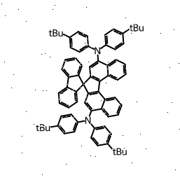 CC(C)(C)c1ccc(N(c2ccc(C(C)(C)C)cc2)c2cc3c(c4ccccc24)-c2c(cc(N(c4ccc(C(C)(C)C)cc4)c4ccc(C(C)(C)C)cc4)c4ccccc24)C32c3ccccc3-c3ccccc32)cc1